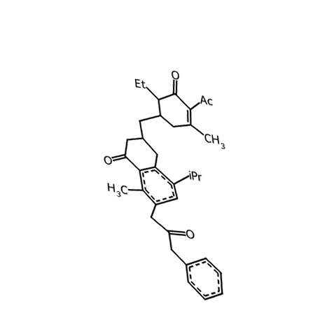 CCC1C(=O)C(C(C)=O)=C(C)CC1CC1CC(=O)c2c(C)c(CC(=O)Cc3ccccc3)cc(C(C)C)c2C1